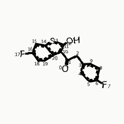 O=C(Cc1ccc(F)cc1)c1c(O)sc2cc(F)ccc12